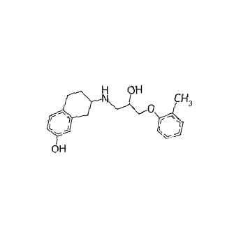 Cc1ccccc1OCC(O)CNC1CCc2ccc(O)cc2C1